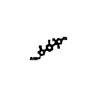 CC(=O)NC[C@H]1CN(c2ccc([C@H]3[C@@H]4CN(C#N)C[C@@H]43)c(F)c2)C(=O)O1